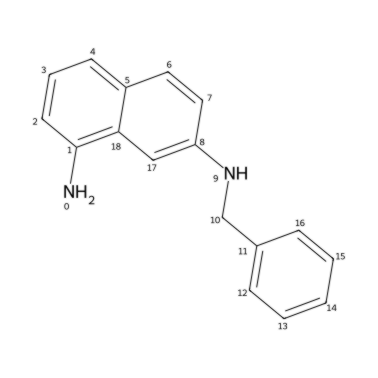 Nc1cccc2ccc(NCc3ccccc3)cc12